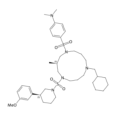 COc1cccc([C@@H]2CCCN(S(=O)(=O)N3CCCN(CC4CCCCC4)CCCN(S(=O)(=O)c4ccc(N(C)C)cc4)C[C@H](C)C3)C2)c1